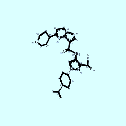 CC(C)[C@H]1CC[C@H](n2cc(NC(=O)c3cnn4ccc(C5CCOCC5)nc34)c(C(F)F)n2)CC1